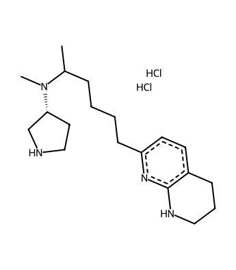 CC(CCCCc1ccc2c(n1)NCCC2)N(C)[C@@H]1CCNC1.Cl.Cl